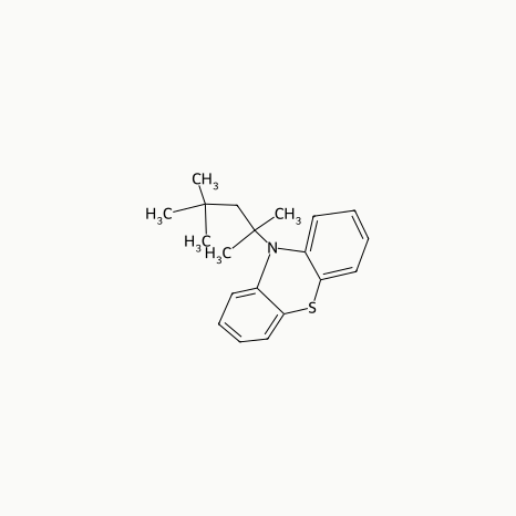 CC(C)(C)CC(C)(C)N1c2ccccc2Sc2ccccc21